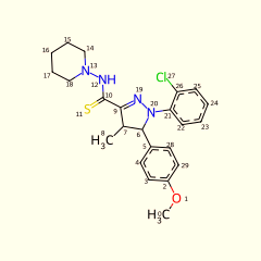 COc1ccc(C2C(C)C(C(=S)NN3CCCCC3)=NN2c2ccccc2Cl)cc1